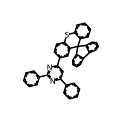 c1ccc(-c2cc(-c3ccc4c(c3)C3(c5ccccc5S4)c4ccccc4-c4ccccc43)nc(-c3ccccc3)n2)cc1